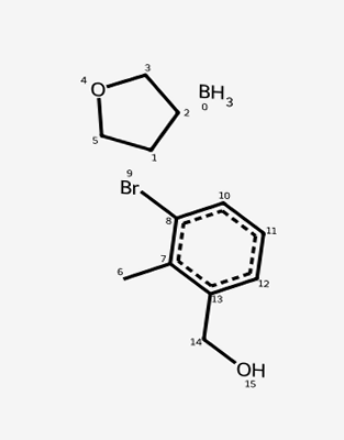 B.C1CCOC1.Cc1c(Br)cccc1CO